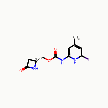 CC1=CC(I)NC(NC(=O)OC[C@H]2CC(=O)N2)=C1